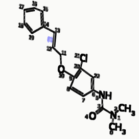 CN(C)C(=O)Nc1ccc(OC/C=C/c2ccccc2)c(Cl)c1